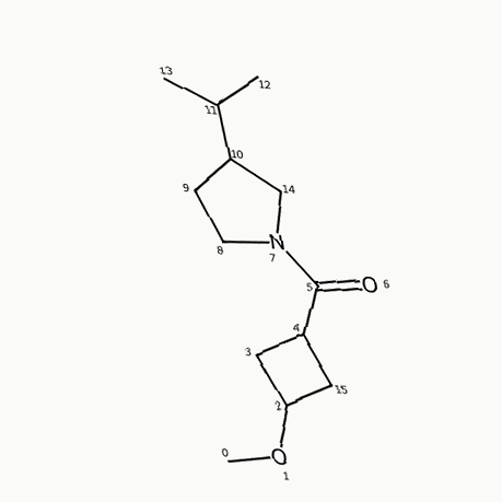 COC1CC(C(=O)N2CCC(C(C)C)C2)C1